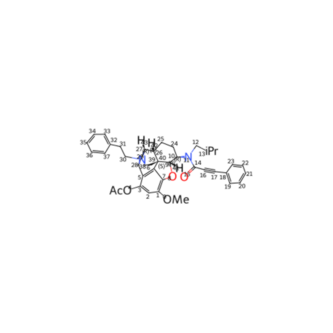 COc1cc(OC(C)=O)c2c3c1O[C@H]1[C@H](N(CC(C)C)C(=O)C#Cc4ccccc4)CC[C@H]4[C@@H](C2)N(CCc2ccccc2)CC[C@@]341